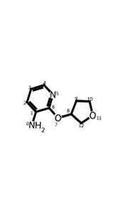 Nc1cccnc1OC1CCOC1